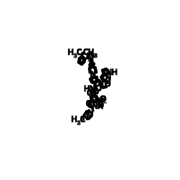 CC(C)c1ccccc1[C@@H]1CCCN1C1CC2(CCN(c3ccc(C(=O)NS(=O)(=O)c4cc5c(c([N+](=O)[O-])c4)N[C@H](CN4CCN(C)CC4)CO5)c(N4CCCOc5nc6[nH]ccc6cc54)c3)CC2)C1